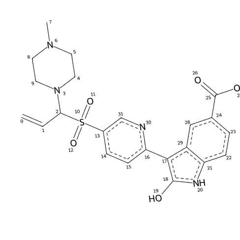 C=CC(N1CCN(C)CC1)S(=O)(=O)c1ccc(-c2c(O)[nH]c3ccc(C(=O)O)cc23)nc1